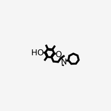 Cc1c(C)c2c(c(C)c1O)CCC(C)(N(C)C1CCCCCC1)O2